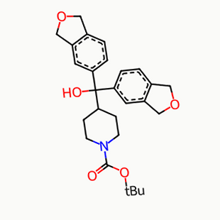 CC(C)(C)OC(=O)N1CCC(C(O)(c2ccc3c(c2)COC3)c2ccc3c(c2)COC3)CC1